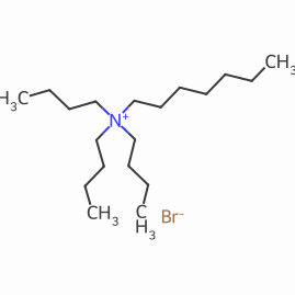 CCCCCCC[N+](CCCC)(CCCC)CCCC.[Br-]